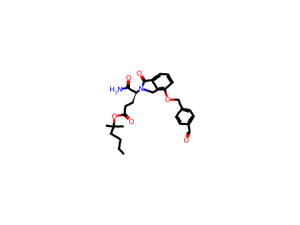 CCCCC(C)(C)OC(=O)CC[C@@H](C(N)=O)N1Cc2c(OCc3ccc(C=O)cc3)cccc2C1=O